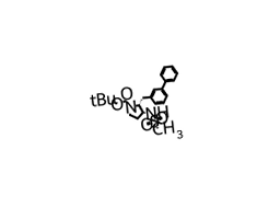 CC(C)(C)OC(=O)N1CC[C@@H](NS(C)(=O)=O)[C@H]1Cc1cccc(-c2ccccc2)c1